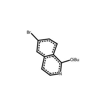 CC(C)COc1nccc2cc(Br)ccc12